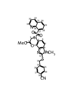 COC(=O)CN(c1ccc2c(c1)nc(SCc1ccc(C#N)cc1)n2C)S(=O)(=O)c1cccc2cccnc12